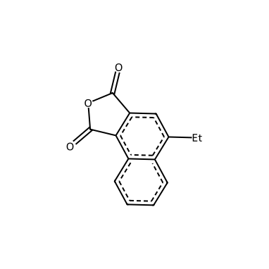 CCc1cc2c(c3ccccc13)C(=O)OC2=O